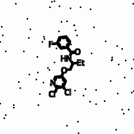 [CH2]CC(COc1cnc(Cl)c(Cl)c1)NC(=O)c1cccc(F)c1